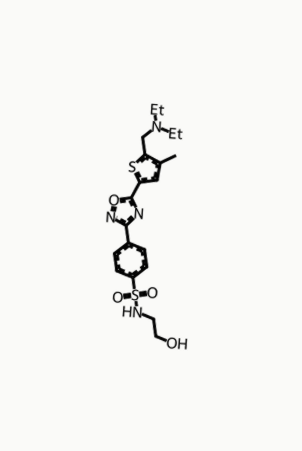 CCN(CC)Cc1sc(-c2nc(-c3ccc(S(=O)(=O)NCCO)cc3)no2)cc1C